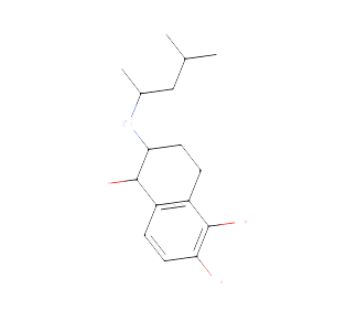 CC(C)CC(C)NC1CCc2c(ccc(O)c2O)C1O